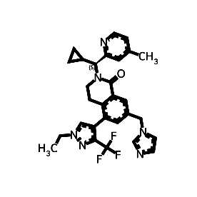 CCn1cc(-c2cc(Cn3ccnc3)cc3c2CCN([C@H](c2cc(C)ccn2)C2CC2)C3=O)c(C(F)(F)F)n1